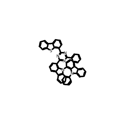 c1cccc(-n2c3ccccc3c3cccc(-n4c5c(c6cccc(-c7nc(-c8ccccc8)nc(-c8cccc9c8sc8ccccc89)n7)c64)C=CCC5)c32)c#1